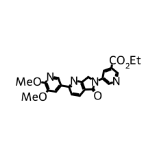 CCOC(=O)c1cncc(N2Cc3nc(-c4cnc(OC)c(OC)c4)ccc3C2=O)c1